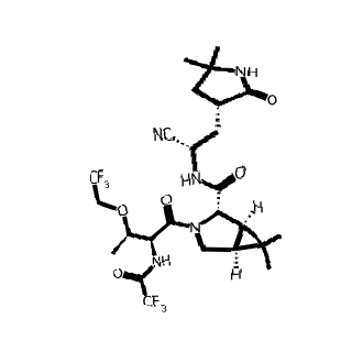 C[C@@H](OCC(F)(F)F)[C@H](NC(=O)C(F)(F)F)C(=O)N1C[C@H]2[C@@H]([C@H]1C(=O)N[C@H](C#N)C[C@@H]1CC(C)(C)NC1=O)C2(C)C